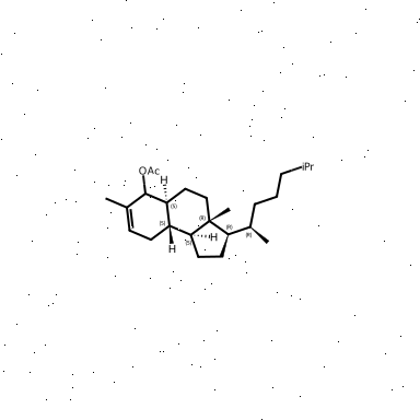 CC(=O)OC1C(C)=CC[C@@H]2[C@@H]1CC[C@]1(C)[C@@H]([C@H](C)CCCC(C)C)CC[C@@H]21